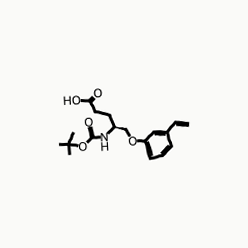 C=Cc1cccc(OC[C@H](CCC(=O)O)NC(=O)OC(C)(C)C)c1